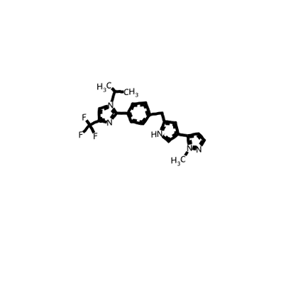 CC(C)n1cc(C(F)(F)F)nc1-c1ccc(Cc2cc(-c3ccnn3C)c[nH]2)cc1